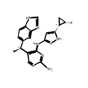 C[C@@H](c1ccc2[nH]cnc2c1)c1cnc(N)nc1Nc1cc([C@@H]2C[C@@H]2F)[nH]n1